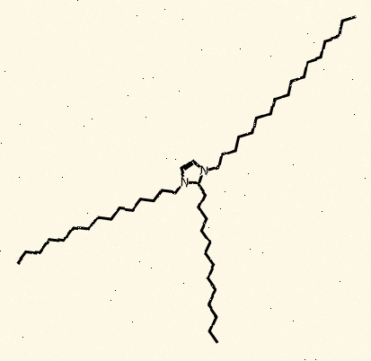 CCCCCCCCCCCCCCCCCN1C=CN(CCCCCCCCCCCCCCC)C1CCCCCCCCCCCCC